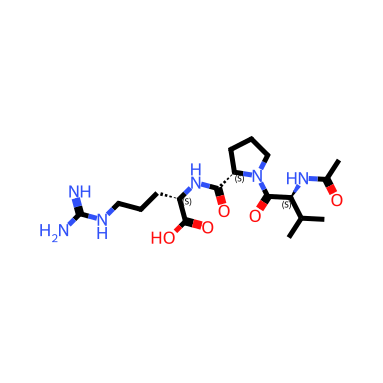 CC(=O)N[C@H](C(=O)N1CCC[C@H]1C(=O)N[C@@H](CCCNC(=N)N)C(=O)O)C(C)C